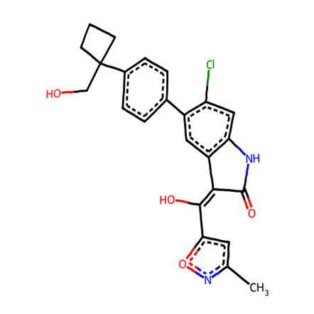 Cc1cc(C(O)=C2C(=O)Nc3cc(Cl)c(-c4ccc(C5(CO)CCC5)cc4)cc32)on1